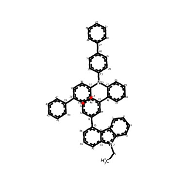 CCn1c2ccccc2c2c(-c3cccc(-c4ccccc4N(c4ccc(-c5ccccc5)cc4)c4ccc(-c5ccccc5)cc4)c3)cccc21